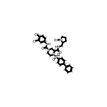 CCN1CCCC1CNC(=O)C1CN(C(=O)Nc2ccc(Cl)c(Cl)c2)CCN1S(=O)(=O)c1ccc(-c2ccccc2)cc1